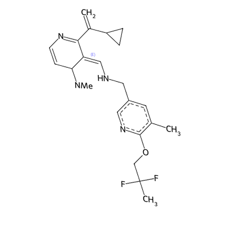 C=C(C1=NC=CC(NC)/C1=C\NCc1cnc(OCC(C)(F)F)c(C)c1)C1CC1